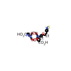 CCC(CCc1ccc(N=C=S)cc1)CC(=O)c1ccc(C(C2=CC=CC(C(=O)O)=CC2CC)[N+]2(C)CCOCCOCCN(Cc3cccc(C(=O)O)n3)CCOCCOCC2)cc1